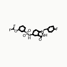 O=c1[nH]n(Cc2ccc(F)cc2)c2ccc(NS(=O)(=O)c3cccc(OC(F)F)c3)cc12